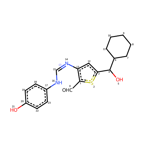 O=Cc1sc(C(O)C2CCCCC2)cc1/N=C\Nc1ccc(O)cc1